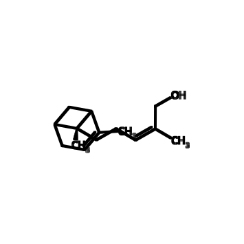 CC1=CCC2CC1[C@]2(C)CC/C=C(/C)CO